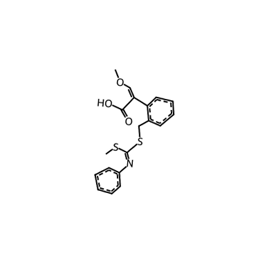 COC=C(C(=O)O)c1ccccc1CSC(=Nc1ccccc1)SC